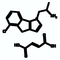 CC(N)Cn1ccc2c1-c1cccc(Cl)c1C2.O=C(O)/C=C/C(=O)O